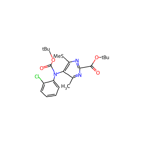 CSc1nc(C(=O)OC(C)(C)C)nc(C)c1N(C(=O)OC(C)(C)C)c1ccccc1Cl